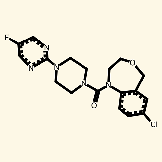 O=C(N1CCN(c2ncc(F)cn2)CC1)N1CCOCc2cc(Cl)ccc21